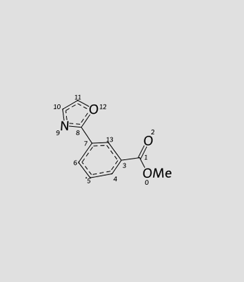 COC(=O)c1c[c]cc(-c2ncco2)c1